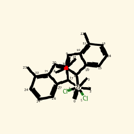 [CH2]=[Zr]([CH3])([CH3])([Cl])([Cl])([CH]1C(C)=Cc2c(C)cccc21)[CH]1C(C)=Cc2c(C)cccc21